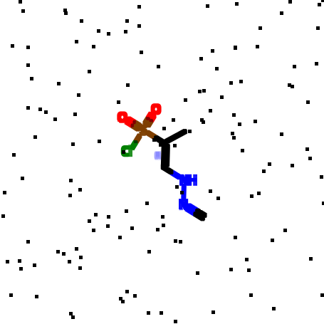 C=NN/C=C(\C)S(=O)(=O)Cl